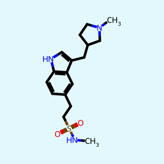 CNS(=O)(=O)CCc1ccc2[nH]cc(CC3CCN(C)C3)c2c1